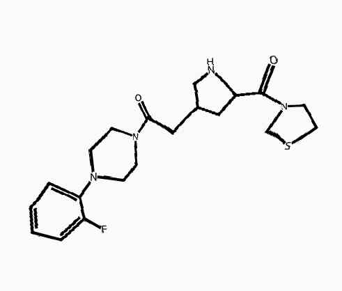 O=C(CC1CNC(C(=O)N2CCSC2)C1)N1CCN(c2ccccc2F)CC1